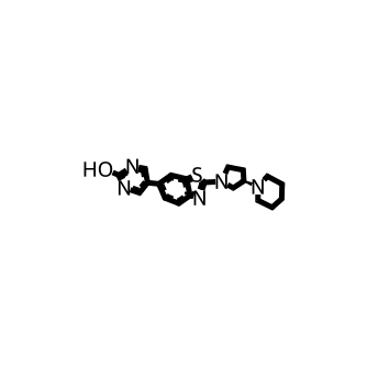 Oc1ncc(-c2ccc3nc(N4CC[C@@H](N5CCCCC5)C4)sc3c2)cn1